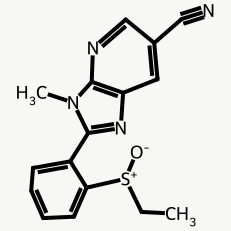 CC[S+]([O-])c1ccccc1-c1nc2cc(C#N)cnc2n1C